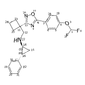 FC(F)Oc1ccc(-c2nc(C3(CN[C@H]4C[C@@H]4c4ccccc4)CCC3)no2)cc1